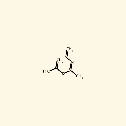 C=C/N=C(/C)SC(=C)C